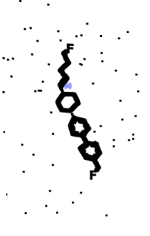 FCCC/C=C/[C@H]1CC[C@H](c2ccc(-c3ccc(CF)cc3)cc2)CC1